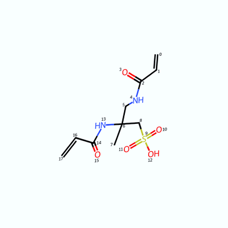 C=CC(=O)NCC(C)(CS(=O)(=O)O)NC(=O)C=C